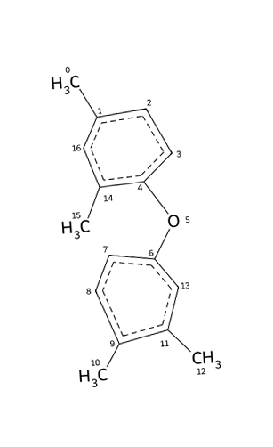 Cc1ccc(Oc2ccc(C)c(C)c2)c(C)c1